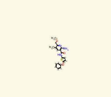 COCc1nc(N)c(C(=O)Nc2ccc(Oc3ccccc3)s2)cc1C